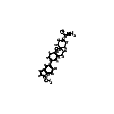 Cn1ccc2cc(-c3ccc4c(c3)CCC3(CCN(C(N)=O)CC3)O4)ccc21